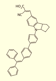 N#C/C(=C\c1ccc2c(c1)C1CCCC1N2c1ccc(-c2ccc(C=C(c3ccccc3)c3ccccc3)cc2)cc1)C(=O)O